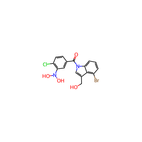 O=C(c1ccc(Cl)c(N(O)O)c1)n1cc(CO)c2c(Br)cccc21